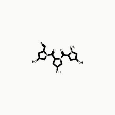 CN1CC(O)CC1C(=O)N1CC(O)CC1C(=O)N1CC(O)CC1C=O